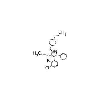 CCCCc1c(-c2cccc(Cl)c2F)c(-c2ccccc2)nn1CC1CCC(CCC)CC1